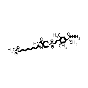 Cc1cc(N(C)C(N)=O)cc(C)c1CCS(=O)(=O)N1CCC2(CC1)N=C(CCCCCCCS(C)(=O)=O)NC2=O